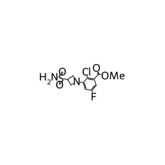 COC(=O)c1cc(F)cc(N2CC(S(N)(=O)=O)C2)c1Cl